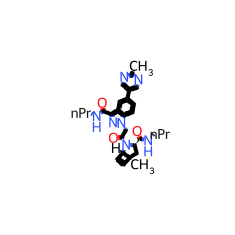 CCCNC(=O)c1nn(CC(=O)N2[C@H](C(=O)NCCC)C[C@@]3(C)C#C[C@@H]23)c2ccc(-c3cnc(C)nc3)cc12